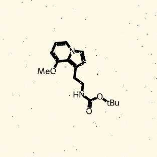 COc1cccn2ccc(CCNC(=O)OC(C)(C)C)c12